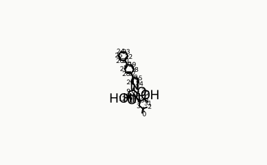 CC(C)CC(NC(=O)C(CC(=O)O)n1ccc(-c2ccc(-c3ccccc3)cc2)c1)C(C)O